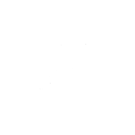 ClC(c1ccccc1)c1cc2cc(Br)ccc2o1